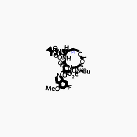 CCC(C)N(C(=O)O)[C@@H]1C(=O)N2[C@@H](C[C@@](C)(Oc3nccc4c(OC)cc(F)cc34)C2(F)F)C(=O)N[C@]2(C(=O)NS(=O)(=O)C3(C)CC3)C[C@H]2/C=C\CC[C@@H](C)O[C@H]1C